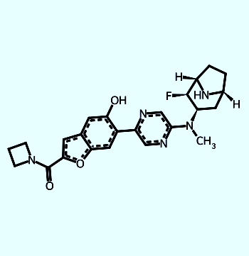 CN(c1cnc(-c2cc3oc(C(=O)N4CCC4)cc3cc2O)cn1)[C@@H]1C[C@H]2CC[C@H](N2)[C@@H]1F